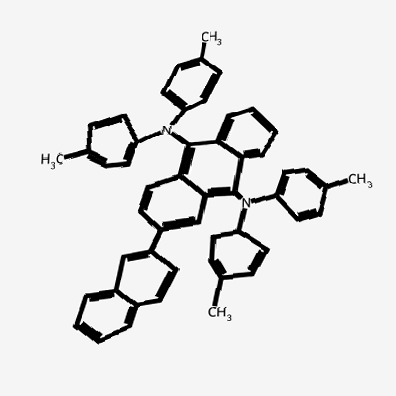 CC1=CCC(N(c2ccc(C)cc2)c2c3ccccc3c(N(c3ccc(C)cc3)c3ccc(C)cc3)c3ccc(-c4ccc5ccccc5c4)cc23)C=C1